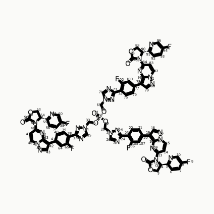 O=C1OC[C@H](c2ccc(F)cn2)N1c1ccn2ncc(-c3ccc(-c4ncn(COP(=O)(OCn5cnc(-c6ccc(-c7cnn8ccc(N9C(=O)OC[C@@H]9c9ccc(F)cn9)nc78)cc6F)n5)OCn5cnc(-c6ccc(-c7cnn8ccc(N9C(=O)OC[C@@H]9c9ccc(F)cn9)nc78)cc6F)n5)n4)c(F)c3)c2n1